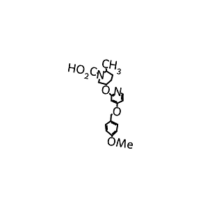 COc1ccc(COc2ccnc(OC3CCC(C)N(C(=O)O)C3)c2)cc1